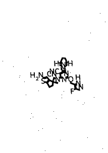 N#Cc1c(N2C[C@H]3CC[C@@H](C2)N3)nc(OCc2[nH]ncc2F)nc1N1CC2(CCc3sc(N)c(C#N)c32)C1